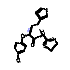 O=C(Nc1nccs1)/C(=C\Cc1ccsc1)Oc1ccc(Cl)cc1